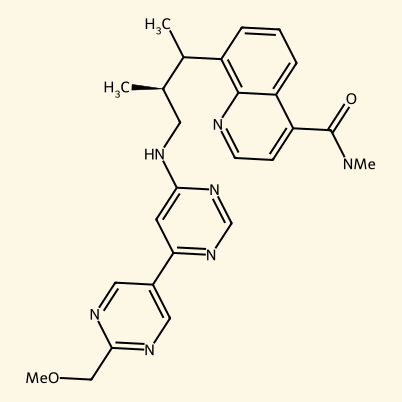 CNC(=O)c1ccnc2c(C(C)[C@H](C)CNc3cc(-c4cnc(COC)nc4)ncn3)cccc12